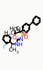 C[C@H](NC1=NS(=O)(=O)C(C)(c2ccc(-c3ccccc3)cc2)C(C)(C)O1)c1ccccc1F